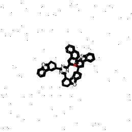 C1=C(c2nc(C3=CCCc4oc5ccc(-c6ccc7sc8ccccc8c7c6)cc5c43)nc(-c3ccc4ccc5ccccc5c4c3)n2)CCc2oc3ccccc3c21